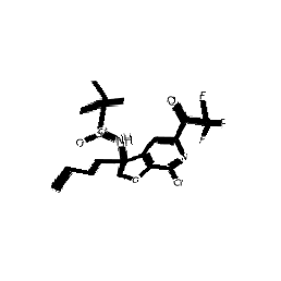 C=CCCC1(N[S+]([O-])C(C)(C)C)COc2c1cc(C(=O)C(F)(F)F)nc2Cl